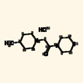 CC1CCN(CC(=O)N2CCSCC2)CC1.Cl